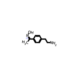 C/C(=N/O)c1ccc(CCN)cc1